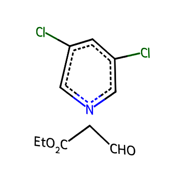 CCOC(=O)CC=O.Clc1cncc(Cl)c1